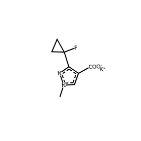 Cn1cc(C(=O)[O-])c(C2(F)CC2)n1.[K+]